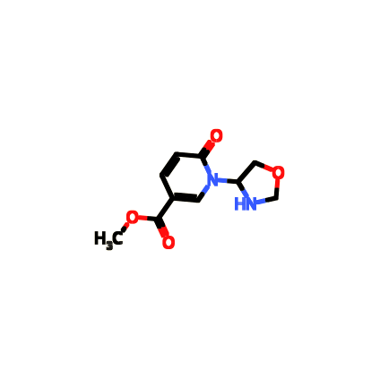 COC(=O)c1ccc(=O)n(C2COCN2)c1